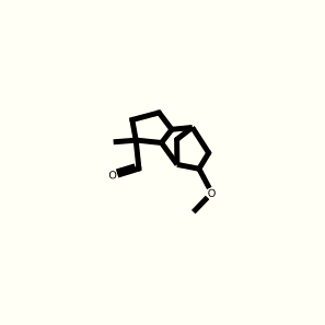 COC1CC2CC1C1C2CCC1(C)C=O